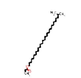 C=CC(=O)OCCCCCCCCCCCCCCCCCCCCCCCCCCCC(C)C